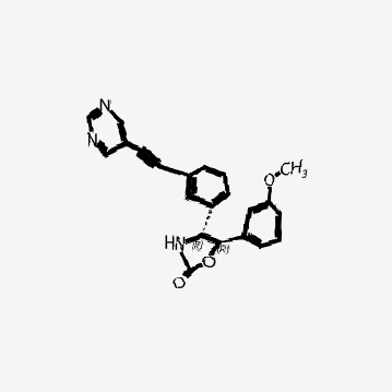 COc1cccc([C@H]2OC(=O)N[C@@H]2c2cccc(C#Cc3cncnc3)c2)c1